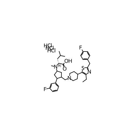 CCc1nc(Cc2ccc(F)cc2)sc1C1CCN(CC2CC(N(C)[C@H](CC(C)C)C(=O)O)CC2c2cccc(F)c2)CC1.Cl.Cl.Cl